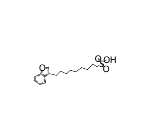 O=S(=O)(O)CCCCCCCCCc1coc2ccccc12